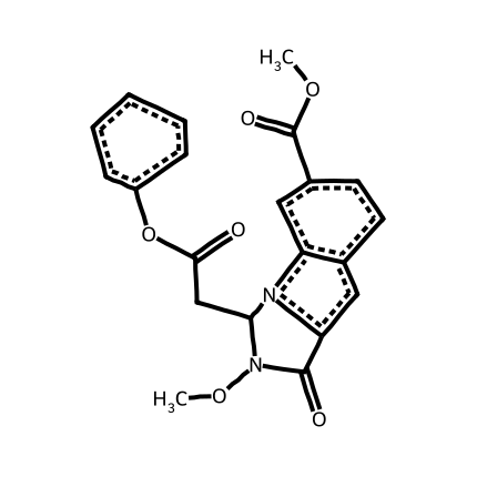 COC(=O)c1ccc2cc3n(c2c1)C(CC(=O)Oc1ccccc1)N(OC)C3=O